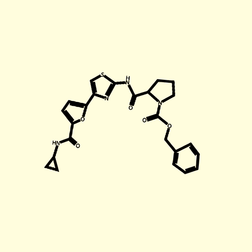 O=C(NC1CC1)c1ccc(-c2csc(NC(=O)C3CCCN3C(=O)OCc3ccccc3)n2)o1